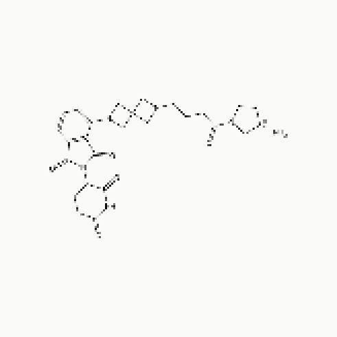 N[C@H]1CCN(C(=O)CCCN2CC3(C2)CN(c2cccc4c2C(=O)N(C2CCC(=O)NC2=O)C4=O)C3)C1